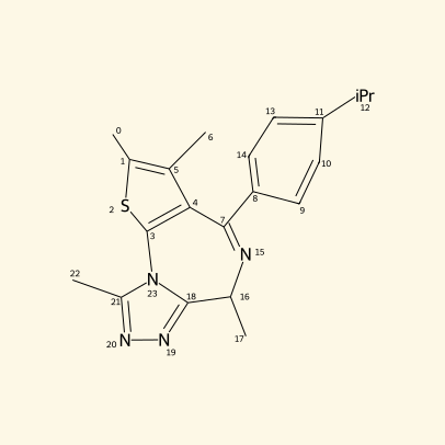 Cc1sc2c(c1C)C(c1ccc(C(C)C)cc1)=NC(C)c1nnc(C)n1-2